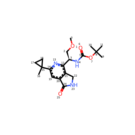 COC[C@@H](NC(=O)OC(C)(C)C)c1nc(C2(C)CC2)cc2c1CNC2=O